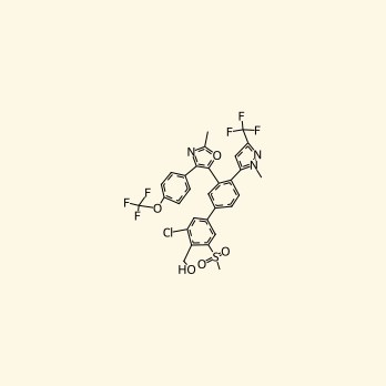 Cc1nc(-c2ccc(OC(F)(F)F)cc2)c(-c2cc(-c3cc(Cl)c(CO)c(S(C)(=O)=O)c3)ccc2-c2cc(C(F)(F)F)nn2C)o1